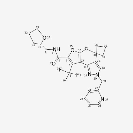 CC(F)(F)c1c(C(=O)NC[C@@H]2CCCO2)oc2c1-c1nn(Cc3ccccn3)cc1C1(CCC1)C2